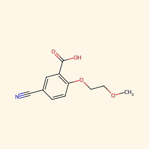 COCCOc1ccc(C#N)cc1C(=O)O